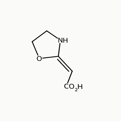 O=C(O)C=C1NCCO1